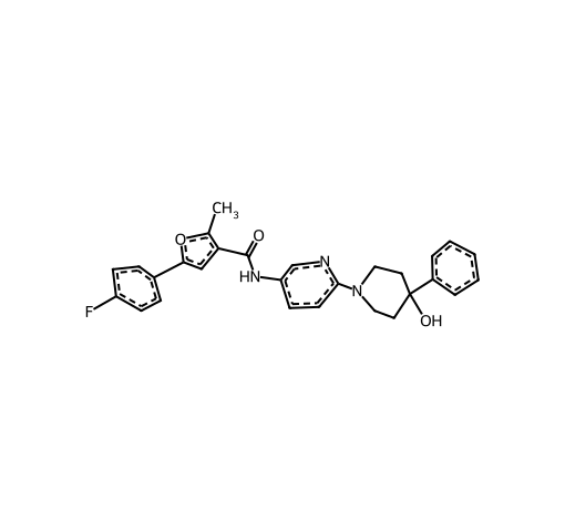 Cc1oc(-c2ccc(F)cc2)cc1C(=O)Nc1ccc(N2CCC(O)(c3ccccc3)CC2)nc1